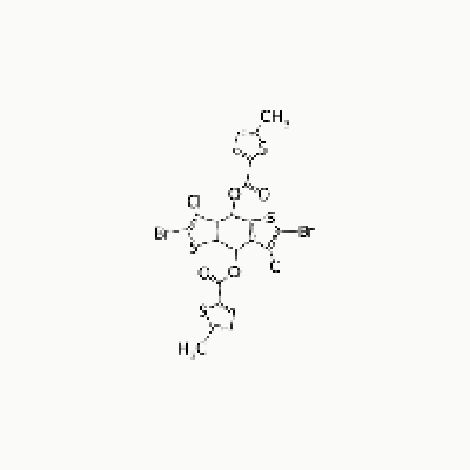 Cc1ccc(C(=O)OC2c3sc(Br)c(Cl)c3C(OC(=O)c3ccc(C)s3)c3sc(Br)c(Cl)c32)s1